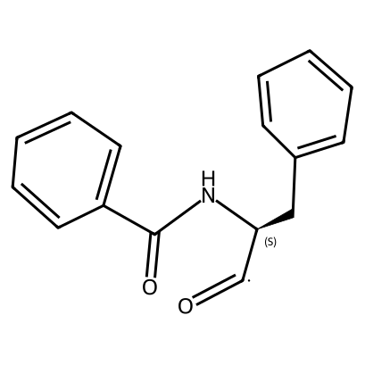 O=[C][C@H](Cc1ccccc1)NC(=O)c1ccccc1